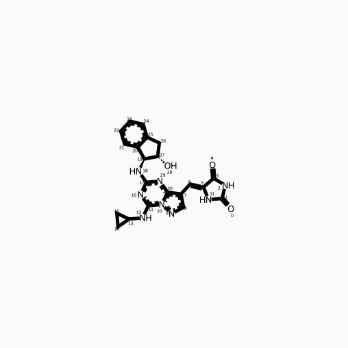 O=C1NC(=O)/C(=C/c2cnn3c(NC4CC4)nc(N[C@H]4c5ccccc5C[C@@H]4O)nc23)N1